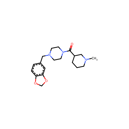 CN1CCCC(C(=O)N2CCN(Cc3ccc4c(c3)OCO4)CC2)C1